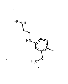 COc1cc(NCCNS)ccc1F